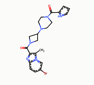 Cc1c(C(=O)N2CC(N3CCN(C(=O)c4ccc[nH]4)CC3)C2)nc2ccc(Br)cn12